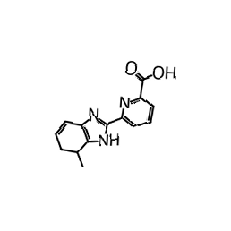 CC1CC=Cc2nc(-c3cccc(C(=O)O)n3)[nH]c21